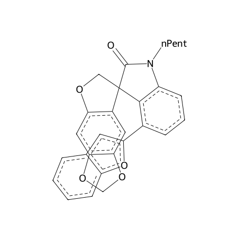 CCCCCN1C(=O)C2(COc3cc4c(cc32)OCO4)c2c(-c3cc4ccccc4o3)cccc21